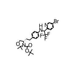 CC(C)(C)OC(=O)N1[C@@H](CCc2ccc(NC(c3ccc(Br)cn3)C(F)(F)F)cc2)COC1(C)C